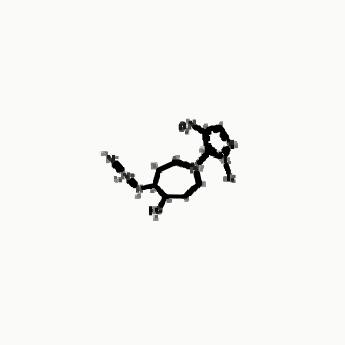 CCn1ncc([N+](=O)[O-])c1N1CCC(O)C(N=[N+]=[N-])CC1